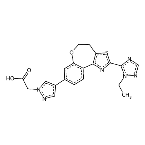 CCn1ncnc1-c1nc2c(s1)CCOc1cc(-c3cnn(CC(=O)O)c3)ccc1-2